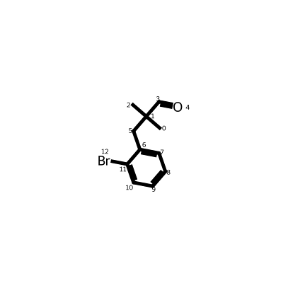 CC(C)(C=O)Cc1ccccc1Br